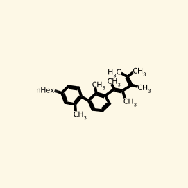 CCCCCCc1ccc(-c2cccc(/C(C)=C(\C)C(C)=C(C)C)c2C)c(C)c1